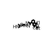 CCOc1c(C#N)cc2c(c1Cl)CCCC2c1cnc(NCCOC2CNC2)nc1